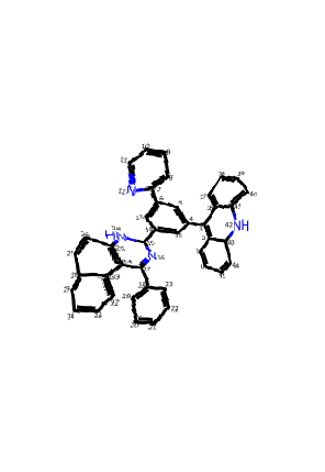 C1=CC2=C(c3cc(-c4ccccn4)cc(C4N=C(c5ccccc5)c5c(ccc6ccccc56)N4)c3)c3ccccc3NC2C=C1